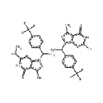 CNc1nc2c(c(C)nn2C(C)c2ccc(C(F)(F)F)cc2)c(=O)[nH]1.Cc1nn(C(C)c2ccc(C(F)(F)F)cc2)c2nc(Cl)[nH]c(=O)c12